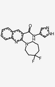 O=C(Nc1cn[nH]c1)c1cc2ccccc2nc1N1CCCC(F)(F)CC1